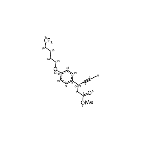 CC#C[C@@H](CC(=O)OC)c1ccc(OCCCCC(F)(F)F)cc1